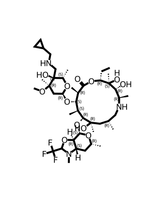 CC[C@H]1OC(=O)[C@H](C)[C@@H](O[C@H]2C[C@@](C)(OC)[C@](O)(CNCC3CC3)[C@H](C)O2)[C@H](C)[C@@H](O[C@@H]2O[C@H](C)C[C@H]3[C@H]2OC(C(F)(F)F)N3C)[C@](C)(O)C[C@@H](C)CN[C@H](C)[C@@H](O)[C@]1(C)O